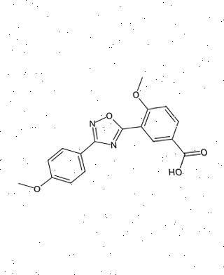 COc1ccc(-c2noc(-c3cc(C(=O)O)ccc3OC)n2)cc1